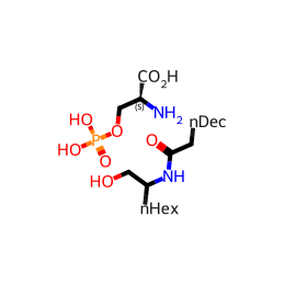 CCCCCCCCCCCC(=O)NC(CO)CCCCCC.N[C@@H](COP(=O)(O)O)C(=O)O